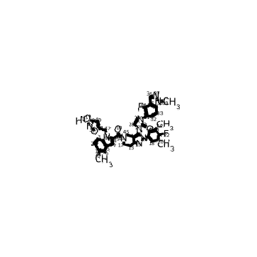 Cc1ccc2c(c1)cc(C(=O)N1CCc3nn(-c4cc(C)c(F)c(C)c4)c(-n4ccn(-c5ccc6c(cnn6C)c5F)c4=O)c3C1)n2Cc1cc(O)no1